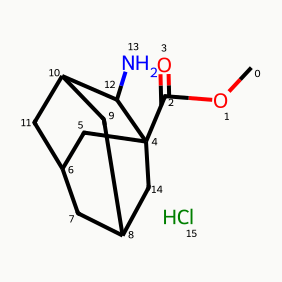 COC(=O)C12CC3CC(CC(C3)C1N)C2.Cl